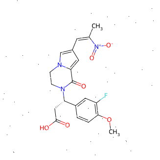 COc1ccc([C@H](CC(=O)O)N2CCn3cc(/C=C(/C)[N+](=O)[O-])cc3C2=O)cc1F